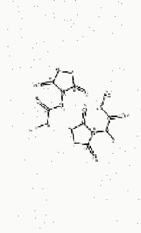 CC(=O)SC(=O)C(C)N1C(=O)CCC1=O.O=C(CI)ON1C(=O)CCC1=O